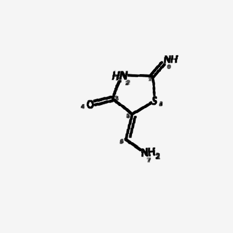 N=C1NC(=O)C(=CN)S1